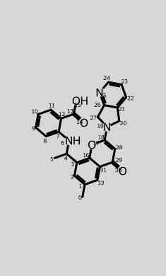 Cc1cc(C(C)Nc2ccccc2C(=O)O)c2oc(N3Cc4cccnc4C3)cc(=O)c2c1